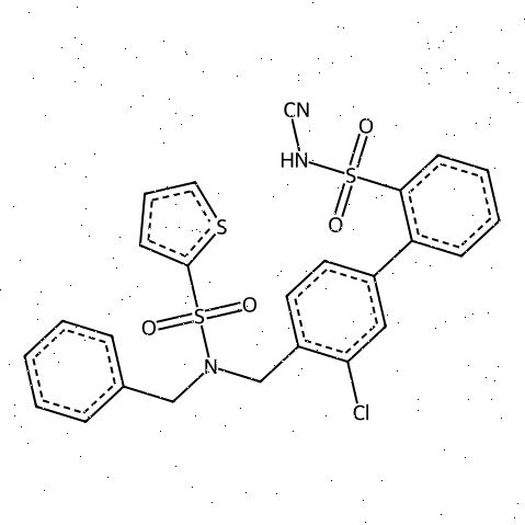 N#CNS(=O)(=O)c1ccccc1-c1ccc(CN(Cc2ccccc2)S(=O)(=O)c2cccs2)c(Cl)c1